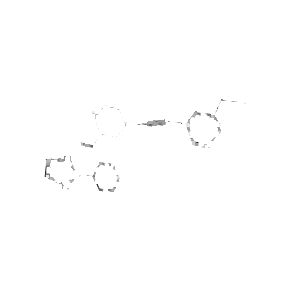 C[C@@H]1CC[C@@H](C#Cc2cncc(CO)c2)CN1C(=O)c1ccccc1-n1nccn1